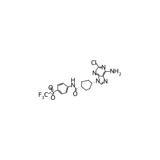 Nc1nc(Cl)nc2c1ncn2[C@H]1CC[C@@H](C(=O)Nc2ccc(S(=O)(=O)C(F)(F)F)cc2)CC1